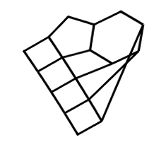 C1C2CC3CC4C5C6CC7C1C1C8C2C34C58C761